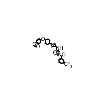 O=C(CNC(=O)c1cccc(C(F)(F)F)c1)NC1CN(C2CCC(Oc3ccc4c(c3)OCO4)CC2)C1